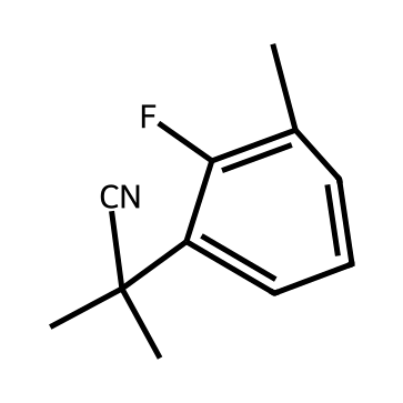 Cc1cccc(C(C)(C)C#N)c1F